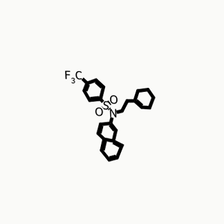 O=S(=O)(c1ccc(C(F)(F)F)cc1)N(CCC1=CCCCC1)c1ccc2ccccc2c1